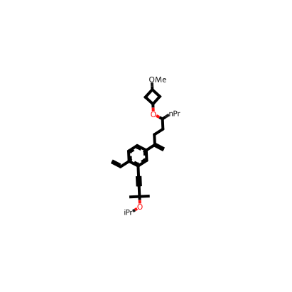 C=Cc1ccc(C(=C)CCC(CCC)OC2CC(OC)C2)cc1C#CC(C)(C)OC(C)C